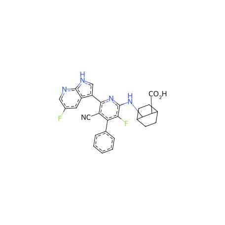 N#Cc1c(-c2c[nH]c3ncc(F)cc23)nc(NC2C3CCC(CC3)C2C(=O)O)c(F)c1-c1ccccc1